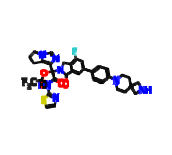 O=C1c2cc(-c3ccc(N4CCC5(CC4)CNC5)cc3)cc(F)c2CN1C(OC(=O)C(F)(F)F)(C(=O)Nc1nccs1)c1ncn2c1CCC2